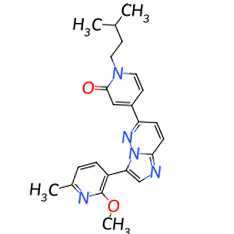 COc1nc(C)ccc1-c1cnc2ccc(-c3ccn(CCC(C)C)c(=O)c3)nn12